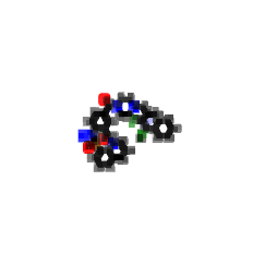 C/C=C(CN1CCN(C(=O)c2ccc(NS(=O)(=O)c3cccc4cccnc34)c(C)c2)CC1)\C(F)=C(\F)C1CCCCC1